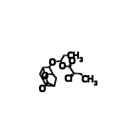 CCC(OC(=O)C(Cl)CC)OC1C2CC3CC(C2)C(=O)OC1C3